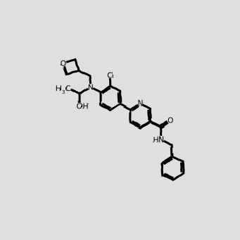 CC(O)N(CC1COC1)c1ccc(-c2ccc(C(=O)NCc3ccccc3)cn2)cc1Cl